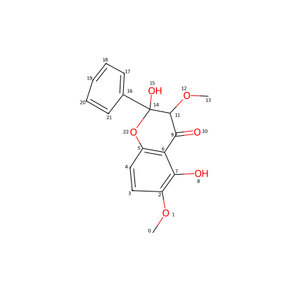 COc1ccc2c(c1O)C(=O)C(OC)C(O)(c1ccccc1)O2